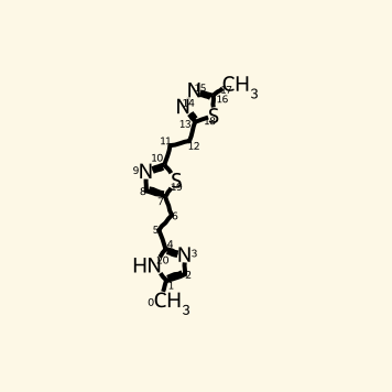 Cc1cnc(CCc2cnc(CCc3nnc(C)s3)s2)[nH]1